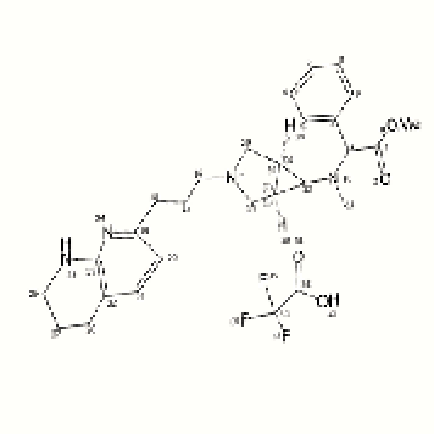 COC(=O)C(c1ccccc1)N(C)C1[C@H]2CN(CCCc3ccc4c(n3)NCCC4)C[C@@H]12.O=C(O)C(F)(F)F